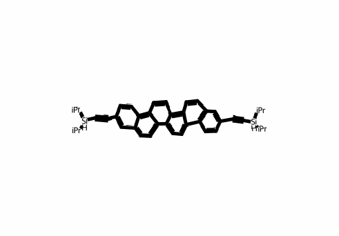 CC(C)[SiH](C#Cc1ccc2c(ccc3c2ccc2c4ccc5cc(C#C[SiH](C(C)C)C(C)C)ccc5c4ccc32)c1)C(C)C